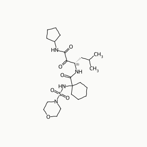 CC(C)C[C@H](NC(=O)C1(NS(=O)(=O)N2CCOCC2)CCCCC1)C(=O)C(=O)NC1CCCC1